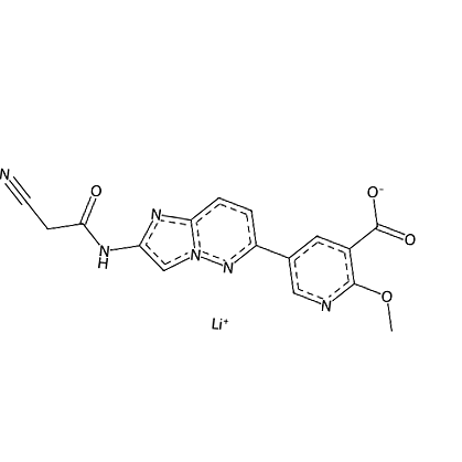 COc1ncc(-c2ccc3nc(NC(=O)CC#N)cn3n2)cc1C(=O)[O-].[Li+]